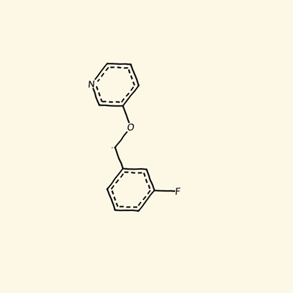 Fc1cccc([CH]Oc2cccnc2)c1